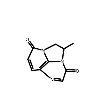 CC1Cn2c(=O)ccc3ncc(=O)n1c32